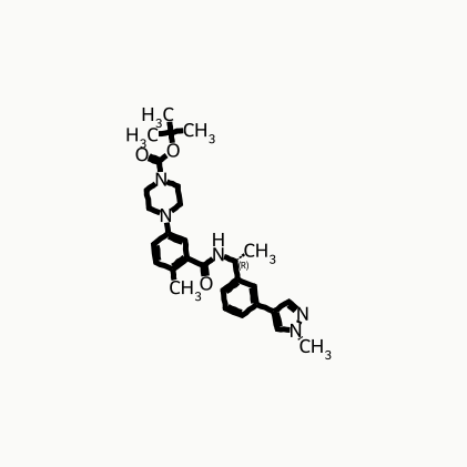 Cc1ccc(N2CCN(C(=O)OC(C)(C)C)CC2)cc1C(=O)N[C@H](C)c1cccc(-c2cnn(C)c2)c1